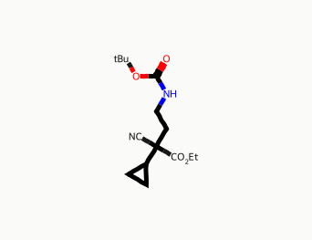 CCOC(=O)C(C#N)(CCNC(=O)OC(C)(C)C)C1CC1